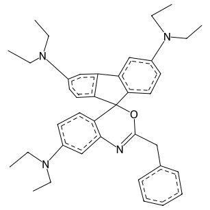 CCN(CC)c1ccc2c(c1)N=C(Cc1ccccc1)OC21c2ccc(N(CC)CC)cc2-c2cc(N(CC)CC)ccc21